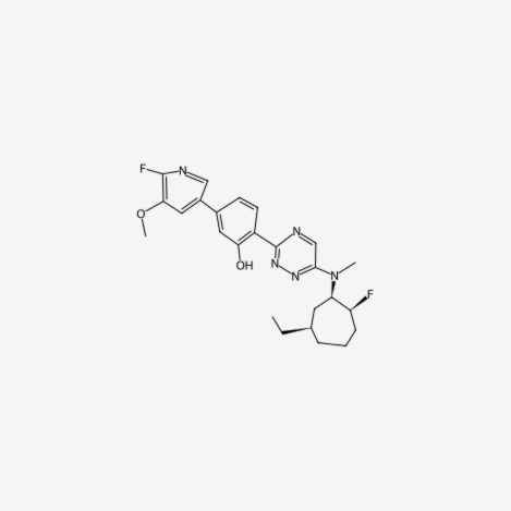 CC[C@@H]1CCC[C@H](F)[C@H](N(C)c2cnc(-c3ccc(-c4cnc(F)c(OC)c4)cc3O)nn2)C1